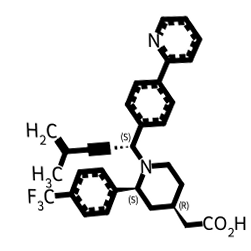 C=C(C)C#C[C@H](c1ccc(-c2ccccn2)cc1)N1CC[C@@H](CC(=O)O)C[C@H]1c1ccc(C(F)(F)F)cc1